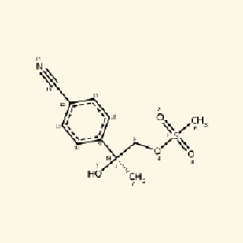 C[C@@](O)(COS(C)(=O)=O)c1ccc(C#N)cc1